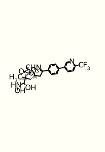 C[C@@](C[C@H]1CC(c2ccc(-c3ccc(C(F)(F)F)nc3)cc2)=NO1)(C(O)NO)S(C)(=O)=O